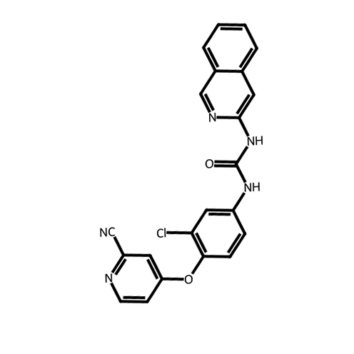 N#Cc1cc(Oc2ccc(NC(=O)Nc3cc4ccccc4cn3)cc2Cl)ccn1